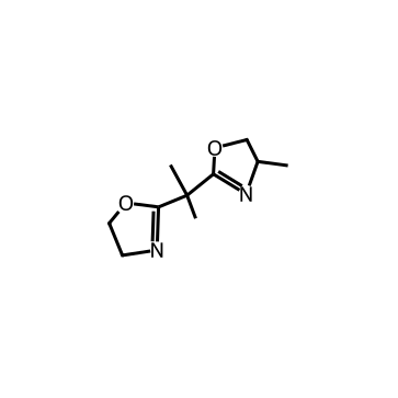 CC1COC(C(C)(C)C2=NCCO2)=N1